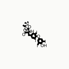 CC(OC(=O)NC(Cc1cc(I)c(Oc2cc(I)c(O)c(I)c2)c(I)c1)C(=O)O)[Si](C)(C)C